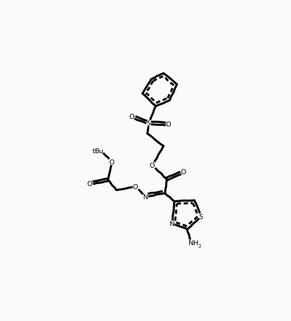 CC(C)(C)OC(=O)CON=C(C(=O)OCCS(=O)(=O)c1ccccc1)c1csc(N)n1